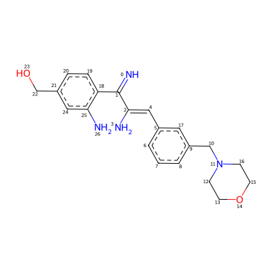 N=C(/C(N)=C/c1cccc(CN2CCOCC2)c1)c1ccc(CO)cc1N